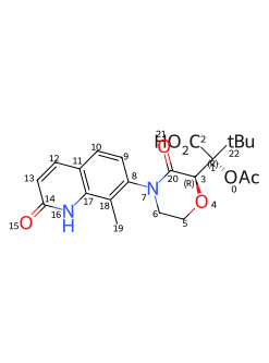 CC(=O)O[C@@](C(=O)O)([C@H]1OCCN(c2ccc3ccc(=O)[nH]c3c2C)C1=O)C(C)(C)C